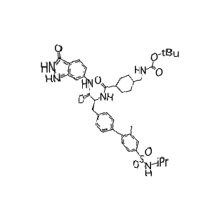 Cc1cc(S(=O)(=O)NC(C)C)ccc1-c1ccc(C[C@H](NC(=O)C2CCC(CNC(=O)OC(C)(C)C)CC2)C(=O)Nc2ccc3c(=O)[nH][nH]c3c2)cc1